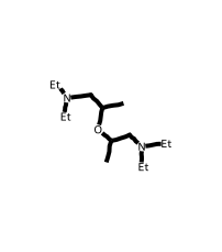 CCN(CC)CC(C)OC(C)CN(CC)CC